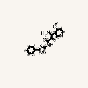 COc1ccnc2sc(C(=O)Nc3nnc(-c4ccccc4)s3)c(N)c12